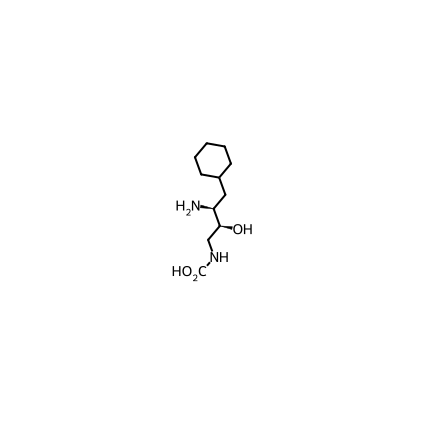 N[C@@H](CC1CCCCC1)[C@@H](O)CNC(=O)O